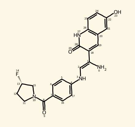 N/C(=C\Nc1ccc(C(=O)N2CC[C@H](F)C2)cc1)c1cc2cc(O)ccc2[nH]c1=O